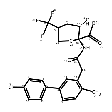 Cc1ccc(-c2ccc(Cl)cc2)cc1CC(=O)N[C@@]1(C(=O)O)CCC(C(F)(F)F)C[C@@H]1C